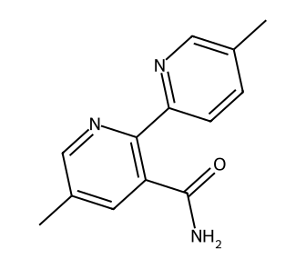 Cc1ccc(-c2ncc(C)cc2C(N)=O)nc1